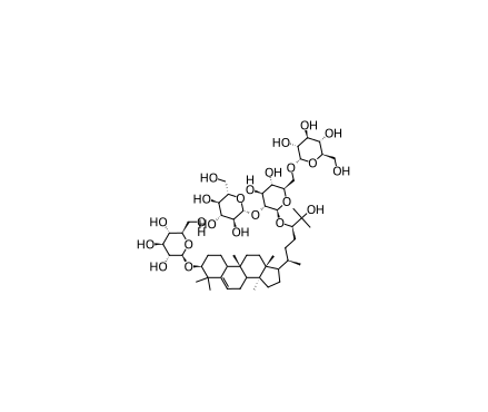 C[C@H](CC[C@@H](O[C@@H]1O[C@H](CO[C@H]2O[C@H](CO)[C@@H](O)[C@H](O)[C@H]2O)[C@@H](O)[C@H](O)[C@H]1O[C@H]1O[C@@H](CO)[C@H](O)[C@@H](O)[C@@H]1O)C(C)(C)O)C1CC[C@@]2(C)C3CC=C4C(CC[C@H](O[C@@H]5O[C@H](CO)[C@@H](O)[C@H](O)[C@H]5O)C4(C)C)[C@]3(C)CC[C@]12C